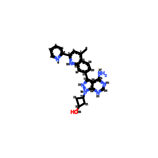 Cc1cc(-c2ccccn2)nc2cc(-c3nn(C4CC(O)C4)c4ncnc(N)c34)ccc12